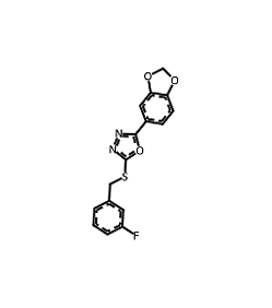 Fc1cccc(CSc2nnc(-c3ccc4c(c3)OCO4)o2)c1